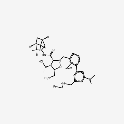 COc1c(CN2O[C@@H](CN)[C@@H]([C@H](C)O)[C@H]2C(=O)NC2C[C@H]3C[C@@H]([C@@H]2C)C3(C)C)cccc1-c1cc(CNCC(C)C)cc(N(C)C)c1